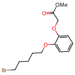 COC(=O)COc1ccccc1OCCCCCBr